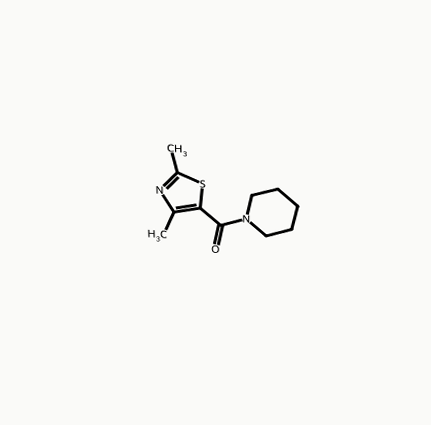 Cc1nc(C)c(C(=O)N2CCCCC2)s1